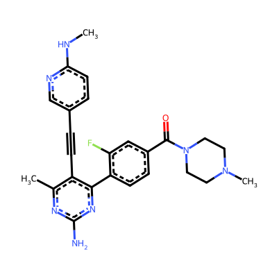 CNc1ccc(C#Cc2c(C)nc(N)nc2-c2ccc(C(=O)N3CCN(C)CC3)cc2F)cn1